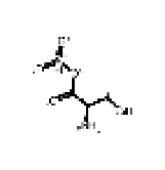 N[C@H](CS)C(=O)O[SH](=O)=O